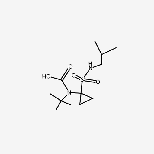 CC(C)CNS(=O)(=O)C1(N(C(=O)O)C(C)(C)C)CC1